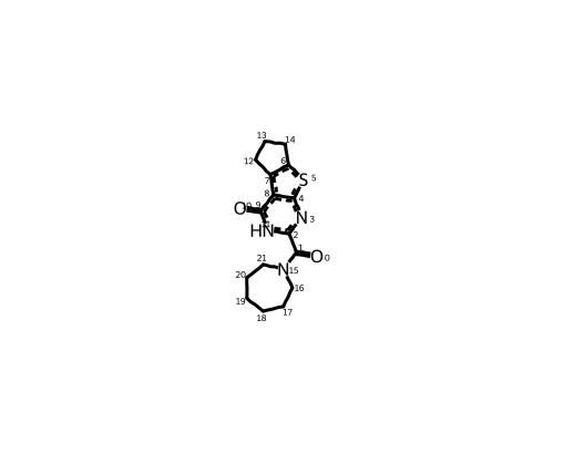 O=C(c1nc2sc3c(c2c(=O)[nH]1)CCC3)N1CCCCCC1